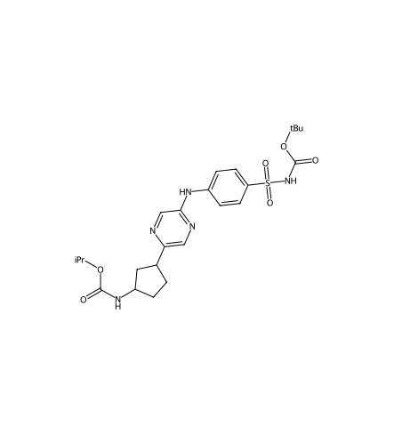 CC(C)OC(=O)NC1CCC(c2cnc(Nc3ccc(S(=O)(=O)NC(=O)OC(C)(C)C)cc3)cn2)C1